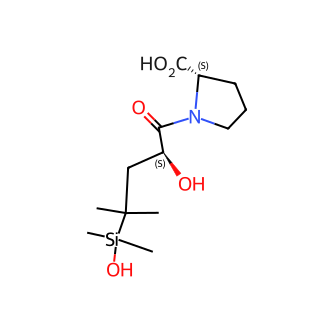 CC(C)(C[C@H](O)C(=O)N1CCC[C@H]1C(=O)O)[Si](C)(C)O